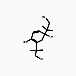 CC(C)(C)CC(C)(C)C1=C(O)C=CC(O)(C(C)(C)CC(C)(C)C)C1